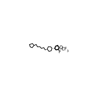 Fc1cc([C@H]2CC[C@H](CCCCCCC3CCCC3)CC2)ccc1OC(F)(F)F